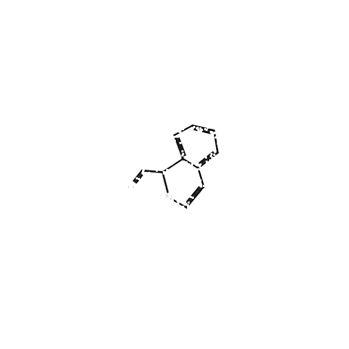 O=CC1NC=Cc2ccccc21